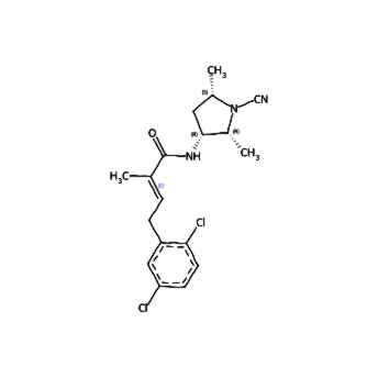 C/C(=C\Cc1cc(Cl)ccc1Cl)C(=O)N[C@@H]1C[C@H](C)N(C#N)[C@@H]1C